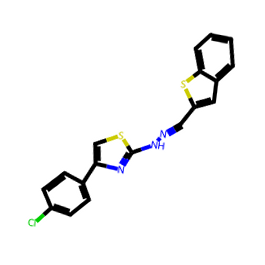 Clc1ccc(-c2csc(NN=Cc3cc4ccccc4s3)n2)cc1